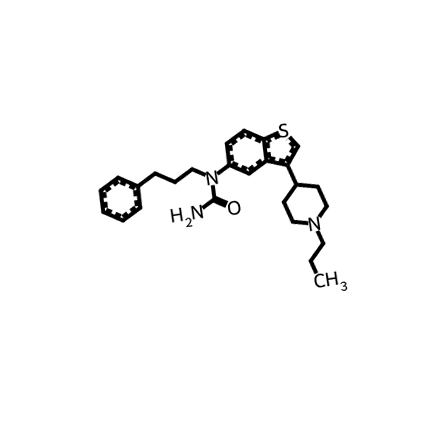 CCCN1CCC(c2csc3ccc(N(CCCc4ccccc4)C(N)=O)cc23)CC1